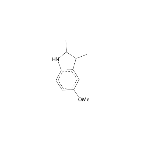 COc1ccc2c(c1)C(C)C(C)N2